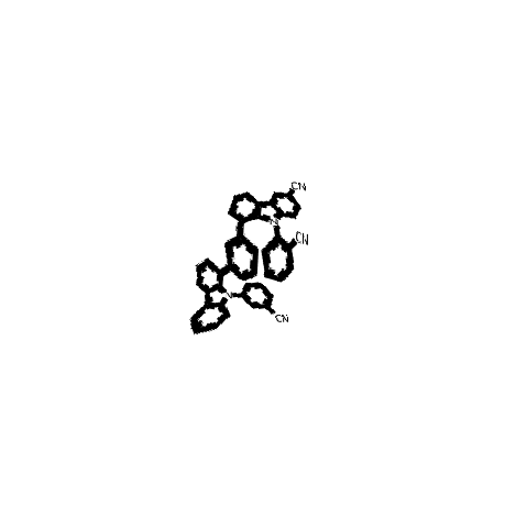 N#Cc1cccc(-n2c3ccccc3c3cccc(-c4cccc(-c5cccc6c7cc(C#N)ccc7n(-c7ccccc7C#N)c56)c4)c32)c1